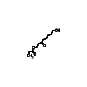 C=CC(=O)OCCC(=O)CCCCCO